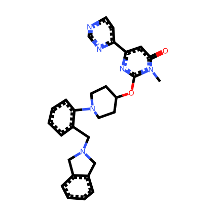 Cn1c(OC2CCN(c3ccccc3CN3Cc4ccccc4C3)CC2)nc(-c2ccncn2)cc1=O